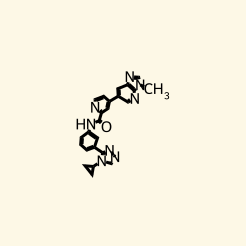 Cn1cnc2cc(-c3ccnc(C(=O)Nc4cccc(-c5nncn5C5CC5)c4)c3)cnc21